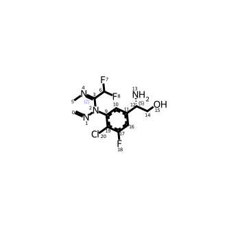 C=NN(/C(=N\C)C(F)F)c1cc([C@H](N)CO)cc(F)c1Cl